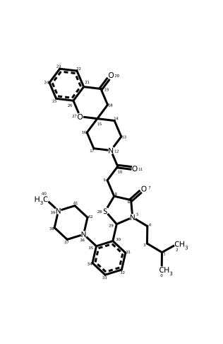 CC(C)CCN1C(=O)C(CC(=O)N2CCC3(CC2)CC(=O)c2ccccc2O3)SC1c1ccccc1N1CCN(C)CC1